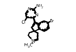 CN1CCC2(C=C(c3nc(N)ncc3Cl)c3cc(Br)ccc32)CC1